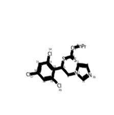 CCCOC(=S)SC(Cn1ccnc1)c1c(Cl)cc(Cl)cc1Cl